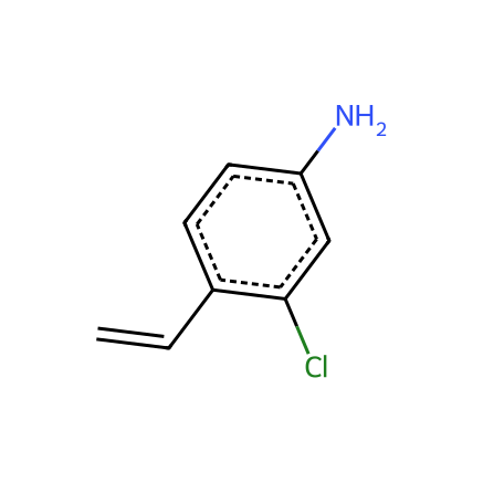 C=Cc1ccc(N)cc1Cl